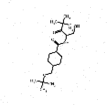 CC(C)(C)OCC1CCC(C(=O)NC(CO)C(=O)C(C)(C)C)CC1